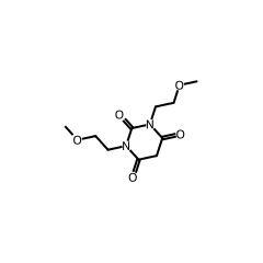 COCCN1C(=O)CC(=O)N(CCOC)C1=O